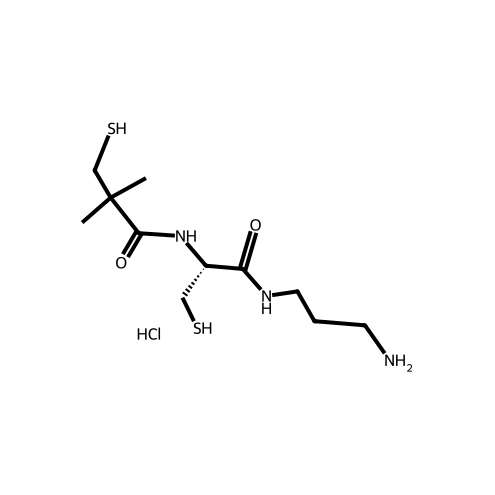 CC(C)(CS)C(=O)N[C@@H](CS)C(=O)NCCCN.Cl